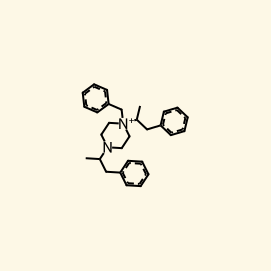 CC(Cc1ccccc1)N1CC[N+](Cc2ccccc2)(C(C)Cc2ccccc2)CC1